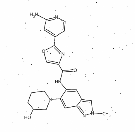 Cn1cc2cc(NC(=O)c3coc(-c4ccnc(N)c4)n3)c(N3CCCC(O)C3)cc2n1